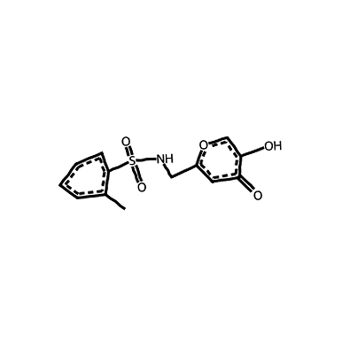 Cc1ccccc1S(=O)(=O)NCc1cc(=O)c(O)co1